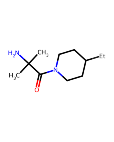 [CH2]CC1CCN(C(=O)C(C)(C)N)CC1